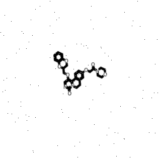 O=C(COc1ccc2c(c1)CCn1c-2c(OCC2COc3ccccc3O2)cnc1=O)N1CCOCC1